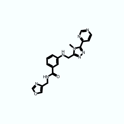 Cn1c(CNc2cccc(C(=O)NCc3cocn3)c2)nnc1-c1ccncn1